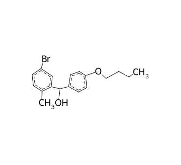 CCCCOc1ccc(C(O)c2cc(Br)ccc2C)cc1